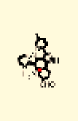 Cc1ccc(-c2n[nH]c(C3CCC(C=O)CC3)c2-c2nn3cccnc3c2C(N)=O)nc1